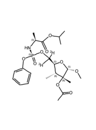 [2H]C([2H])(O[P@@](=O)(N[C@@H](C)C(=O)OC(C)C)Oc1ccccc1)[C@H]1O[C@H](OC)[C@](C)(OC(C)=O)[C@@H]1C